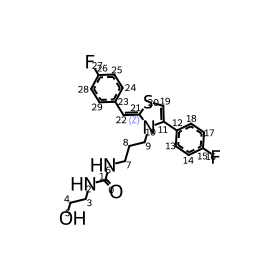 O=C(NCCO)NCCCN1C(c2ccc(F)cc2)=CS/C1=C\c1ccc(F)cc1